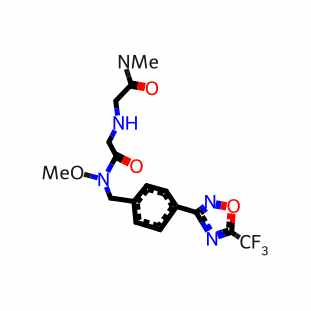 CNC(=O)CNCC(=O)N(Cc1ccc(-c2noc(C(F)(F)F)n2)cc1)OC